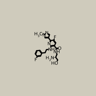 Cn1cc(-c2nc(NCCc3cccc(F)c3)c(C(=O)NC[C@@H](N)CO)cc2F)cn1